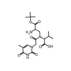 Cc1cn(CC(=O)N(CC(N)C(=O)OC(C)(C)C)C(C(=O)O)C(C)C)c(=O)[nH]c1=O